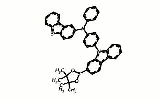 CC1(C)OB(c2ccc3c4ccccc4n(-c4ccc(N(c5ccccc5)c5ccc6sc7ccccc7c6c5)cc4)c3c2)OC1(C)C